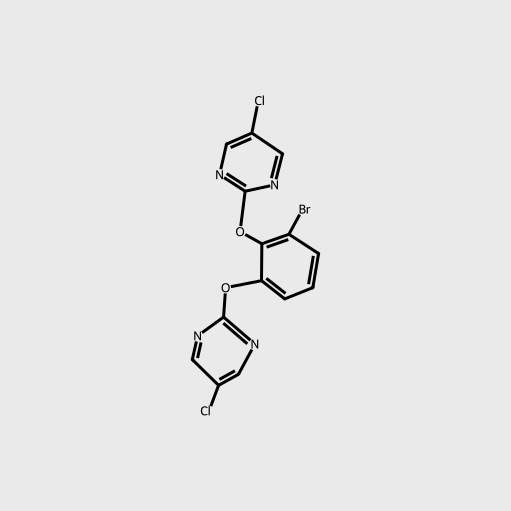 Clc1cnc(Oc2cccc(Br)c2Oc2ncc(Cl)cn2)nc1